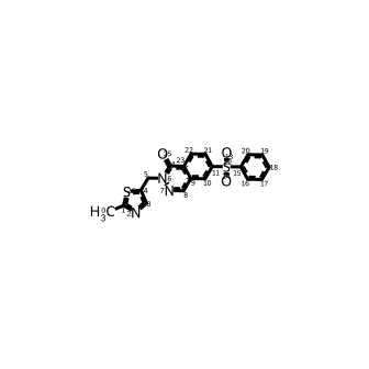 Cc1ncc(Cn2ncc3cc(S(=O)(=O)c4ccccc4)ccc3c2=O)s1